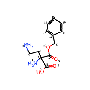 NCCC(N)(C(=O)O)C(=O)OCc1ccccc1